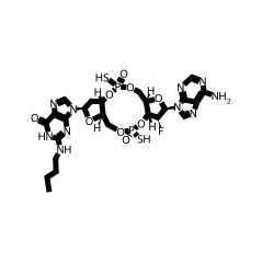 CCCCNc1nc2c(ncn2[C@H]2C[C@@H]3OP(=O)(S)OC[C@H]4O[C@@H](n5cnc6c(N)ncnc65)[C@H](F)[C@@H]4OP(=O)(S)OC[C@H]3O2)c(=O)[nH]1